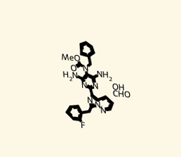 COC(=O)N(Cc1ccccc1)c1c(N)nc(-c2nc(Cc3ccccc3F)n3ncccc23)nc1N.O=CO